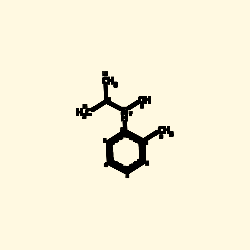 Cc1ccccc1[SiH](O)C(C)C